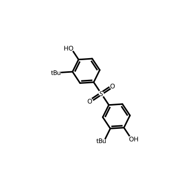 CC(C)(C)c1cc(S(=O)(=O)c2ccc(O)c(C(C)(C)C)c2)ccc1O